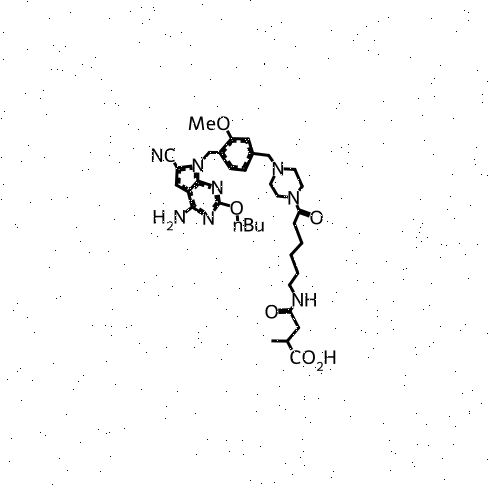 CCCCOc1nc(N)c2cc(C#N)n(Cc3ccc(CN4CCN(C(=O)CCCCCNC(=O)CC(C)C(=O)O)CC4)cc3OC)c2n1